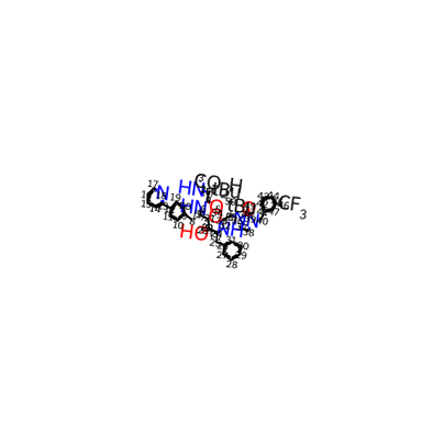 CC(C)(C)[C@H](NC(=O)O)C(=O)N[C@@H](Cc1ccc(-c2ccccn2)cc1)C[C@H](O)[C@H](Cc1ccccc1)NC(=O)[C@@H](N1CCN(Cc2cccc(C(F)(F)F)c2)C1=O)C(C)(C)C